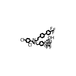 O=C(O)CN(c1ccc(Cn2cc(-c3ccc(Cl)cc3Cl)nc2/C=C/c2ccc(-c3ccc(C(F)(F)F)cc3)cc2)cc1)S(=O)(=O)C(F)(F)F